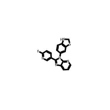 Fc1ccc(-c2nc3cccnc3n2-c2ccc3c(c2)SCN3)cn1